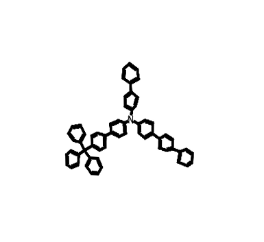 c1ccc(-c2ccc(-c3ccc(N(c4ccc(-c5ccccc5)cc4)c4ccc(-c5ccc(C(c6ccccc6)(c6ccccc6)c6ccccc6)cc5)cc4)cc3)cc2)cc1